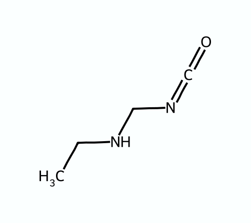 CCNCN=C=O